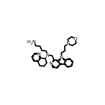 NCCCCN(Cc1nccc2c3ccccc3n(CCCN3CCOCC3)c12)[C@H]1CCCc2cccnc21